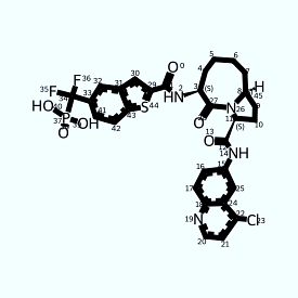 O=C(N[C@H]1CCCC[C@H]2CC[C@@H](C(=O)Nc3ccc4nccc(Cl)c4c3)N2C1=O)c1cc2cc(C(F)(F)P(=O)(O)O)ccc2s1